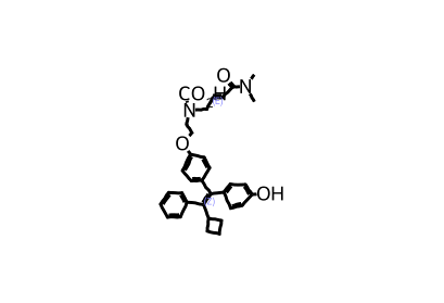 CN(C)C(=O)/C=C/CN(CCOc1ccc(/C(=C(\c2ccccc2)C2CCC2)c2ccc(O)cc2)cc1)C(=O)O